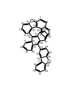 c1ccc2c(c1)ccc1oc3cccc(-c4c5ccccc5c(-c5ccc6oc7ccccc7c6c5)c5ccccc45)c3c12